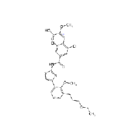 CCOCCCc1cccc(-c2csc(NC(=O)c3cc(Cl)c(/C=C(/OC)C(=O)O)c(Cl)c3)n2)c1OC